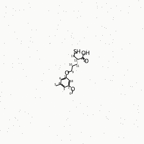 COc1cc(C)cc(OCCC[C@H](CS)C(=O)O)c1